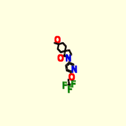 O=C1N(c2ccc(OCC(F)(F)F)nc2)CCC12CCC1(CC2)CO1